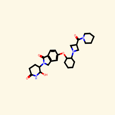 O=C1CCC(N2Cc3cc(OC4CCCCC4N4CC(C(=O)N5CCCCC5)C4)ccc3C2=O)C(O)N1